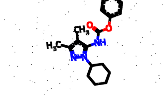 Cc1nn(C2CCCCC2)c(NC(=O)Oc2ccccc2)c1C